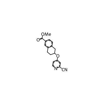 COC(=O)c1ccc2c(c1)CCC(Oc1ccnc(C#N)c1)C2